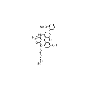 CCOCCOCCOC(=O)C1=C(C)NC2=C(C(=O)CC(c3ccccc3OC)C2)C1c1cccc(O)c1